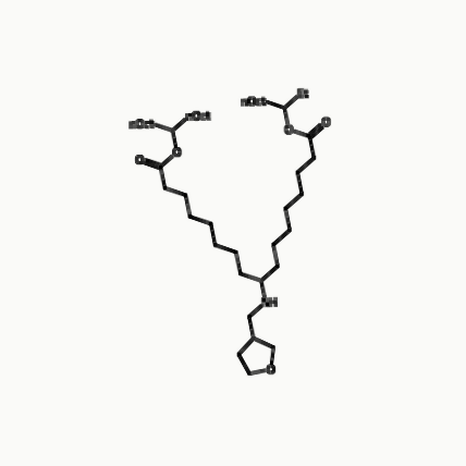 CCCCCCCCC(CC)OC(=O)CCCCCCCC(CCCCCCCC(=O)OC(CCCCCCCC)CCCCCCCC)NCC1CCOC1